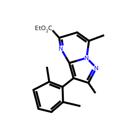 CCOC(=O)c1cc(C)n2nc(C)c(-c3c(C)cccc3C)c2n1